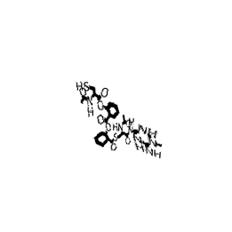 CC(=O)NC(CSC(=O)c1ccccc1OC(=O)c1ccccc1OC(=O)C(CS)NC(C)=O)C(=O)NC(=N)NC(=N)N(C)C